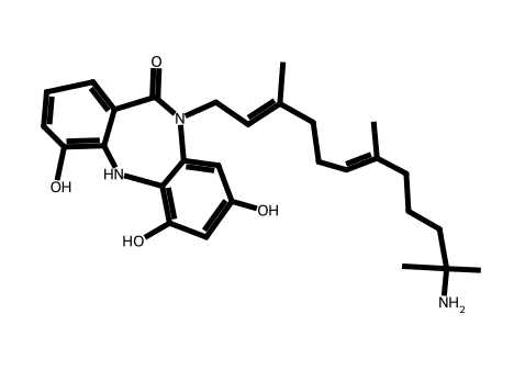 C/C(=C\CN1C(=O)c2cccc(O)c2Nc2c(O)cc(O)cc21)CC/C=C(\C)CCCC(C)(C)N